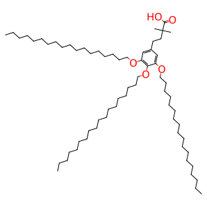 CCCCCCCCCCCCCCCCCCOc1cc(CCC(C)(C)C(=O)O)cc(OCCCCCCCCCCCCCCCCCC)c1OCCCCCCCCCCCCCCCCCC